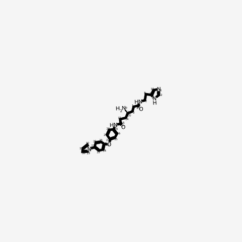 N[C@@H](CCC(=O)NCCc1cnc[nH]1)CCC(=O)Nc1ccc(Oc2ccc(-n3cccc3)cc2)cc1